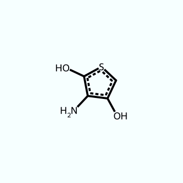 Nc1c(O)csc1O